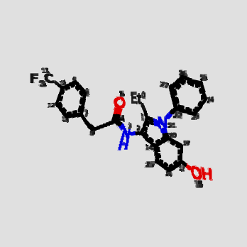 CCc1c(NC(=O)Cc2ccc(C(F)(F)F)cc2)c2ccc(O)cc2n1-c1ccccc1